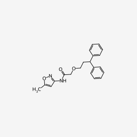 Cc1cc(NC(=O)COCCC(c2ccccc2)c2ccccc2)no1